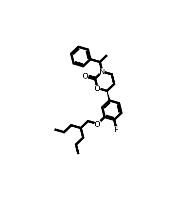 CCCC(CCC)COc1cc([C@@H]2CCN(C(C)c3ccccc3)C(=O)O2)ccc1F